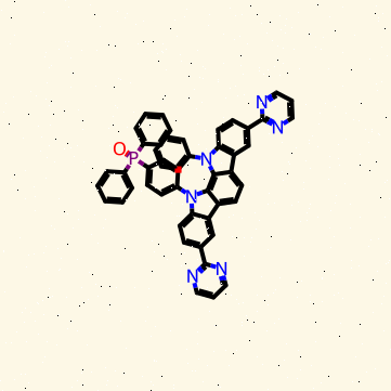 O=P(c1ccccc1)(c1ccccc1)c1ccc(-n2c3ccc(-c4ncccn4)cc3c3ccc4c5cc(-c6ncccn6)ccc5n(-c5ccccc5)c4c32)cc1